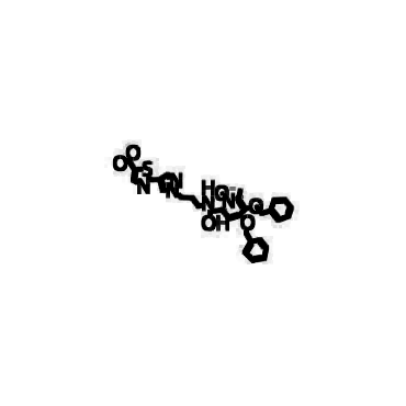 COC(=O)c1cnc(-c2cnn(CCCNC(O)c3cc(OCc4ccccc4)c(OCc4ccccc4)c(C)[n+]3[O-])c2)s1